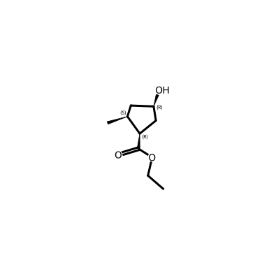 CCOC(=O)[C@@H]1C[C@H](O)C[C@@H]1C